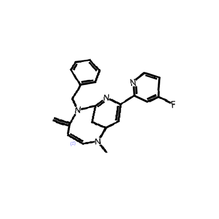 C=C1/C=C\N(C)C2C=C(c3cc(F)ccn3)N=C(C2)N1Cc1ccccc1